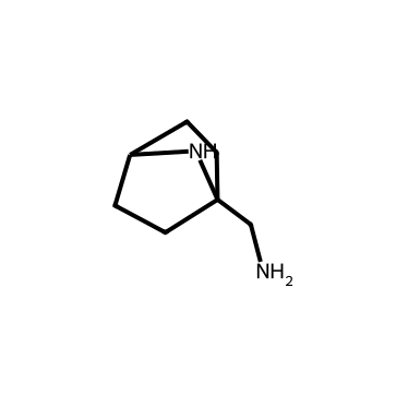 NCC12CCC(CC1)N2